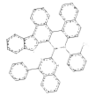 Cc1ccccc1N1c2ccc3ccccc3c2-c2c(c3sc4ccccc4c3c3ccccc23)N1c1nc(-c2ccccc2)c2ccccc2n1